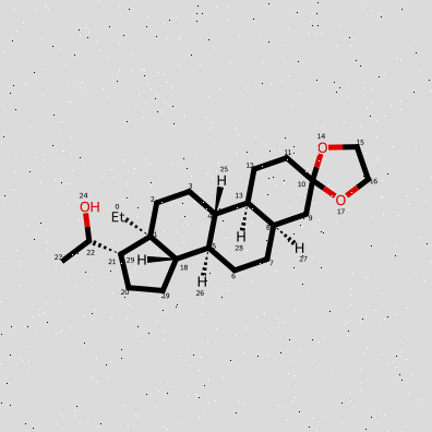 CC[C@]12CC[C@H]3[C@@H](CC[C@@H]4CC5(CC[C@@H]43)OCCO5)[C@@H]1CC[C@@H]2C(C)O